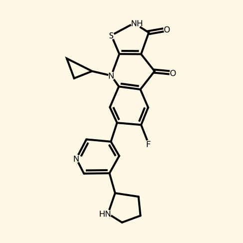 O=c1[nH]sc2c1c(=O)c1cc(F)c(-c3cncc(C4CCCN4)c3)cc1n2C1CC1